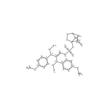 CC1(C)C2CCC1(CS(=O)(=O)ON=C(C(CF)c1ccc(CN)cc1)C(CF)c1ccc(CN)cc1)C(=O)C2